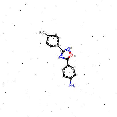 Nc1ccc(-c2nc(-c3ccc(C(F)(F)F)cc3)no2)cc1